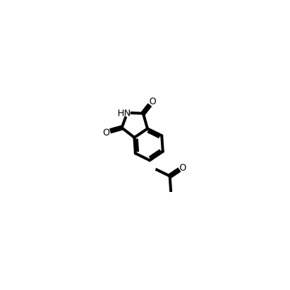 CC(C)=O.O=C1NC(=O)c2ccccc21